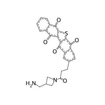 NCC1CN(C(=O)CCc2ccc3c(=O)c4sc5c(=O)c6ccccc6c(=O)c5c4c(=O)c3c2)C1